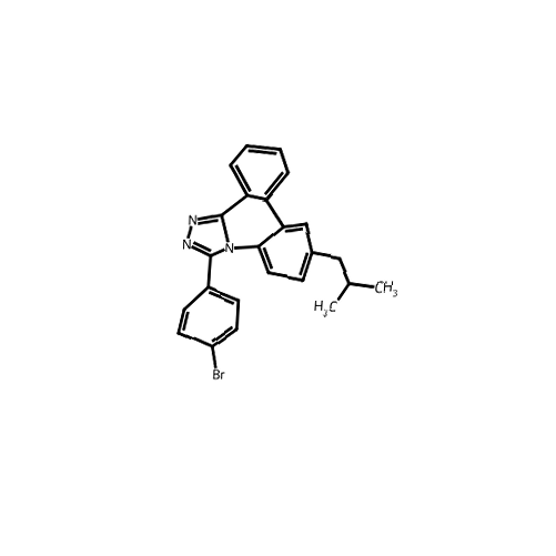 CC(C)Cc1ccc2c(c1)c1ccccc1c1nnc(-c3ccc(Br)cc3)n21